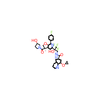 C[C@]1(C(=O)N2CC[C@@H](O)C2)COc2c1cc([C@@](O)(CNC(=O)c1cc(OC3CC3)c3ncccc3c1)C(F)(F)F)nc2-c1ccc(F)cc1